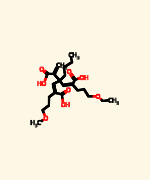 C=C(C(=O)O)C(C=C(CCCOC)C(=O)O)(C=C(CCCOCC)C(=O)O)CCCC